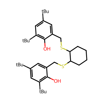 CC(C)(C)c1cc(CSC2CCCCC2SCc2cc(C(C)(C)C)cc(C(C)(C)C)c2O)c(O)c(C(C)(C)C)c1